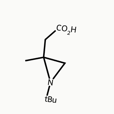 CC(C)(C)N1CC1(C)CC(=O)O